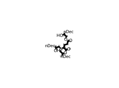 CCCCCCCCCCC(O)COC(=O)CCC1C(=O)OC(CCCCCCCCCC)CN1CC(O)CCCCCCCCCC